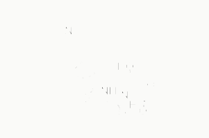 O=C(N[C@H](C(=O)N1C[C@@H](O)[C@H]2OCC(=O)[C@H]21)C1CCCCC1)c1ccc(C2CCN(C3CC3)CC2)cc1